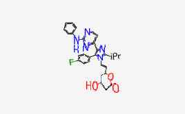 CC(C)c1nc(-c2ccnc(Nc3ccccc3)n2)c(-c2ccc(F)cc2)n1/C=C/C1CC(O)CC(=O)O1